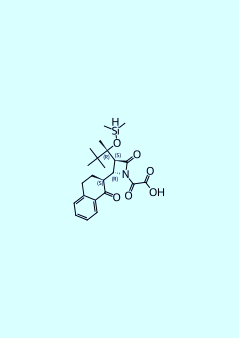 C[SiH](C)O[C@](C)([C@H]1C(=O)N(C(=O)C(=O)O)[C@@H]1[C@@H]1CCc2ccccc2C1=O)C(C)(C)C